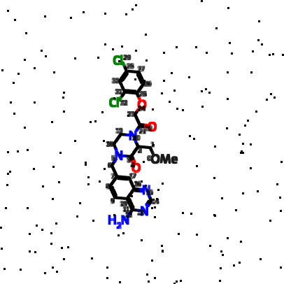 COCC1C(=O)N(Cc2ccc3c(N)ncnc3c2)CCN1C(=O)COc1ccc(Cl)cc1Cl